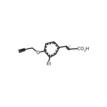 C#CCOc1ccc(/C=C/C(=O)O)cc1CC